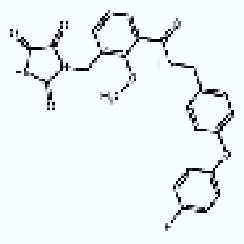 COc1c(CN2C(=O)NC(=O)C2=O)cccc1C(=O)NCc1ccc(Oc2ccc(F)cc2)cc1